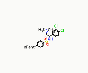 CCCCCc1ccc(S(=O)(=O)N[C@@H](CN(C)C)c2ccc(Cl)c(Cl)c2)cc1